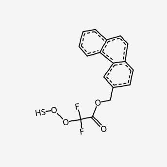 O=C(OCc1ccc2ccc3ccccc3c2c1)C(F)(F)OOS